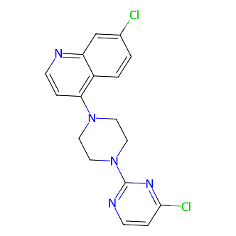 Clc1ccc2c(N3CCN(c4nccc(Cl)n4)CC3)ccnc2c1